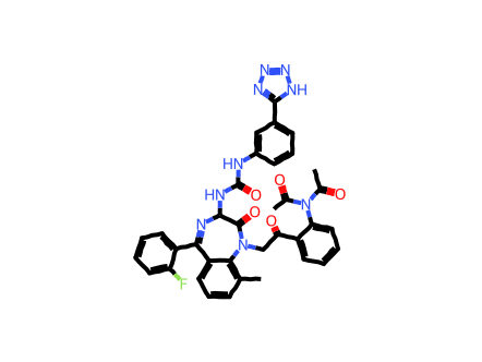 CC(=O)N(C(C)=O)c1ccccc1C(=O)CN1C(=O)C(NC(=O)Nc2cccc(-c3nnn[nH]3)c2)N=C(c2ccccc2F)c2cccc(C)c21